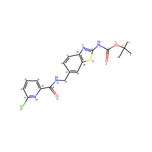 CC(C)(C)OC(=O)Nc1nc2ccc(CNC(=O)c3cccc(Cl)n3)cc2s1